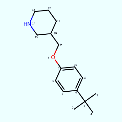 CC(C)(C)c1ccc(OCC2CCCNC2)cc1